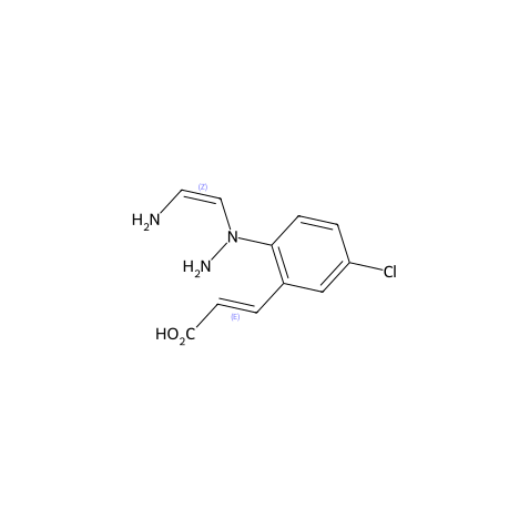 N/C=C\N(N)c1ccc(Cl)cc1/C=C/C(=O)O